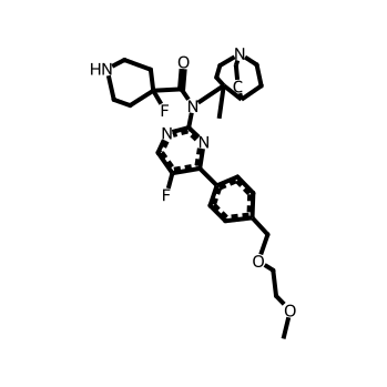 COCCOCc1ccc(-c2nc(N(C(=O)C3(F)CCNCC3)C3(C)CCN4CCC3CC4)ncc2F)cc1